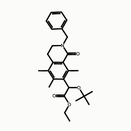 CCOC(=O)C(OC(C)(C)C)c1c(C)c(C)c2c(c1C)C(=O)N(Cc1ccccc1)CC2